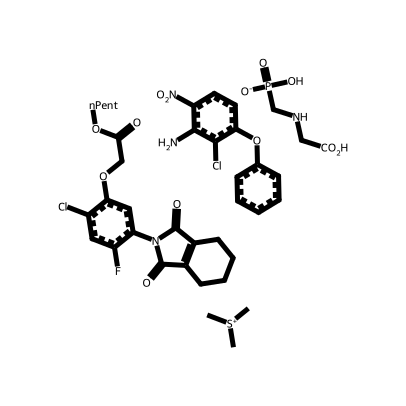 CCCCCOC(=O)COc1cc(N2C(=O)C3=C(CCCC3)C2=O)c(F)cc1Cl.C[S+](C)C.Nc1c([N+](=O)[O-])ccc(Oc2ccccc2)c1Cl.O=C(O)CNCP(=O)([O-])O